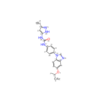 CC(=O)OC(C)Oc1ccc2c(c1)ncn2-c1ccc(NC(=O)Nc2cc(C(C)(C)C)n[nH]2)cc1